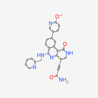 COc1ccc(-c2ccc3c(NCc4ccccn4)nc4c(C#CC(N)=O)c[nH]c(=O)c4c3c2)cn1